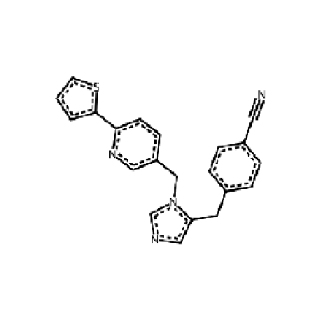 N#Cc1ccc(Cc2cncn2Cc2ccc(-c3cccs3)nc2)cc1